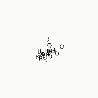 CCCCc1ccc(C(=O)N[C@@H](CNC(=O)CCc2ccccc2)C(=O)N[C@@H](CC(C)C)B2O[C@@H]3C[C@@H]4C[C@@H](C4(C)C)[C@]3(C)O2)cc1